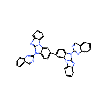 c1ccc2nc(-n3c4ccc(-c5ccc6c(c5)n5c7ccccc7nc5n6-c5ncc6ccccc6n5)cc4n4c5ccccc5nc34)ncc2c1